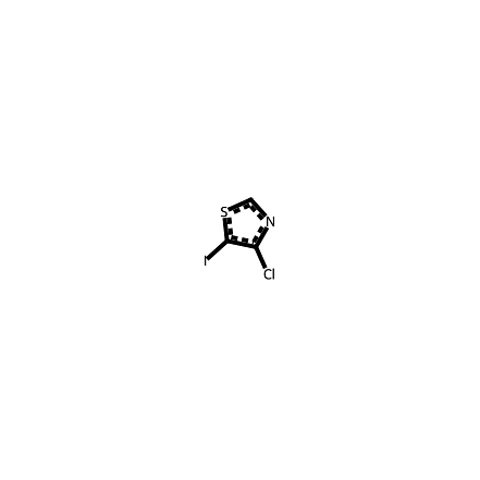 Clc1ncsc1I